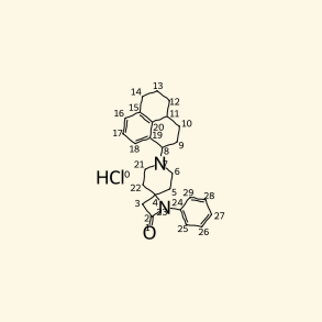 Cl.O=C1CC2(CCN(C3CCC4CCCc5cccc3c54)CC2)N1c1ccccc1